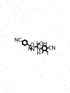 Cc1c(N[C@@H](c2nnc(-c3ccc(C#N)cc3)o2)[C@@H](C)O)ccc(C#N)c1I